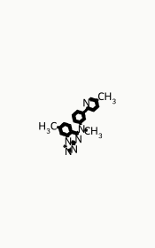 Cc1ccc(-c2cccc(N(C)c3nc4nncn4c4cc(C)ccc34)c2)nc1